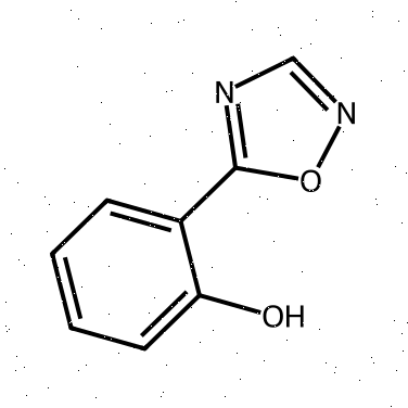 Oc1ccccc1-c1ncno1